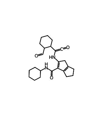 O=C=C(NC1=C(C(=O)NC2CCCCC2)C2=C(CCC2)C1)C1CCCCC1C=O